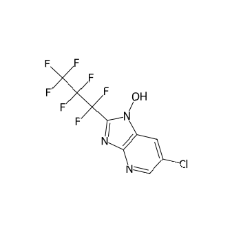 On1c(C(F)(F)C(F)(F)C(F)(F)F)nc2ncc(Cl)cc21